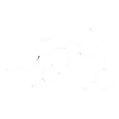 C[C@@H]1CN(Cc2cc(C(F)(F)F)c3cn(-c4cccc([C@]5(c6nncn6C)C[C@@H](C)C5)c4)c(=O)n3c2)CCO1